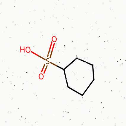 O=S(=O)(O)C1[CH]CC[CH]C1